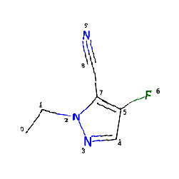 CCn1n[c]c(F)c1C#N